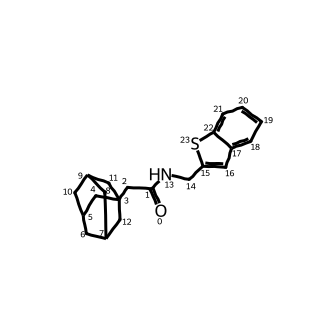 O=C(CC12CC3CC(CC(C3)C1)C2)NCc1cc2ccccc2s1